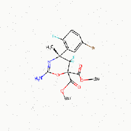 CC(C)(C)OC(=O)C1(C(=O)OC(C)(C)C)OC(N)=N[C@](C)(c2cc(Br)ccc2F)C1(F)F